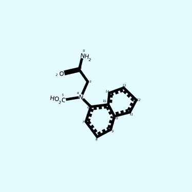 NC(=O)CN(C(=O)O)c1cccc2ccccc12